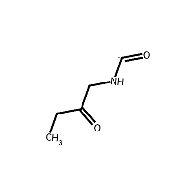 CCC(=O)CN[C]=O